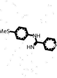 CSc1ccc(NC(=N)c2ccncc2)cc1